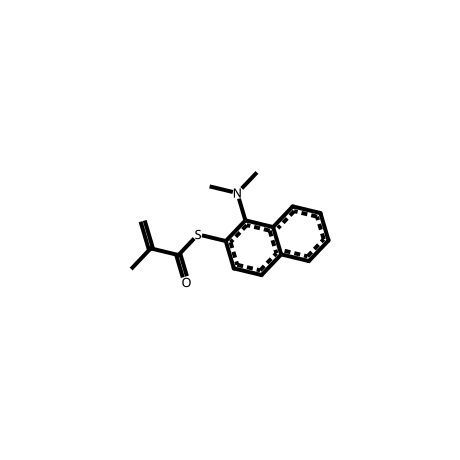 C=C(C)C(=O)Sc1ccc2ccccc2c1N(C)C